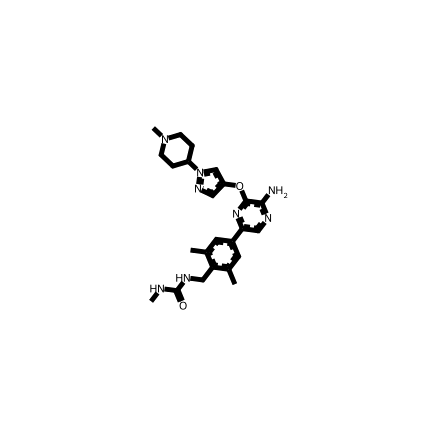 CNC(=O)NCc1c(C)cc(-c2cnc(N)c(Oc3cnn(C4CCN(C)CC4)c3)n2)cc1C